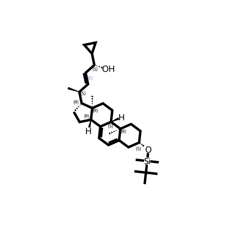 C[C@@H](/C=C/[C@@H](O)C1CC1)[C@H]1CC[C@H]2C3=CC=C4C[C@@H](O[Si](C)(C)C(C)(C)C)CC[C@]4(C)[C@H]3CC[C@]12C